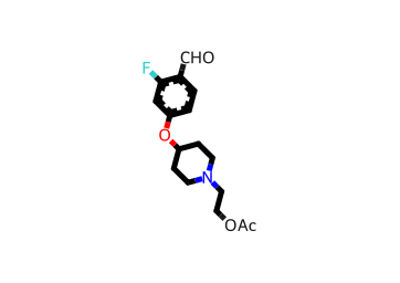 CC(=O)OCCN1CCC(Oc2ccc(C=O)c(F)c2)CC1